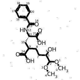 COC(OC)C(O)CCC(C[C@H](NC(=O)c1ccccc1)C(=O)O)C(=O)O